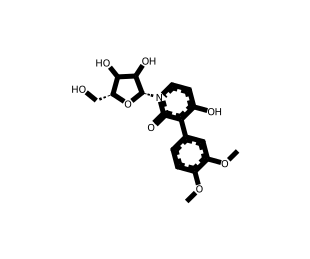 COc1ccc(-c2c(O)ccn([C@@H]3O[C@H](CO)C(O)C3O)c2=O)cc1OC